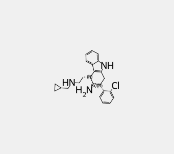 N[C@@H]1[C@@H](c2ccccc2Cl)Cc2[nH]c3ccccc3c2[C@H]1CCNCC1CC1